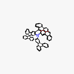 c1ccc2c(c1)-c1ccccc1C21c2ccccc2-c2cc(-c3cc4ccccc4c4ccccc34)c(N(c3ccc4ccc5ccccc5c4c3)c3ccc4c5ccccc5c5ccccc5c4c3)cc21